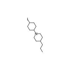 CCCC1CCN(C2CCC(I)CC2)CC1